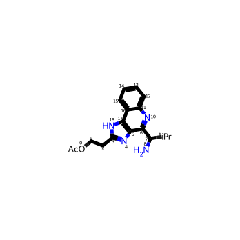 CC(=O)OCCc1nc2c(C(N)C(C)C)nc3ccccc3c2[nH]1